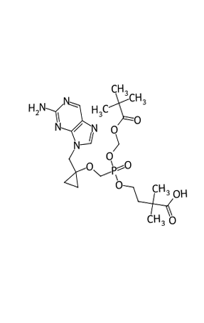 CC(C)(C)C(=O)OCOP(=O)(COC1(Cn2cnc3cnc(N)nc32)CC1)OCCC(C)(C)C(=O)O